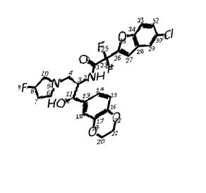 O=C(N[C@H](CN1CCC(F)C1)[C@H](O)c1ccc2c(c1)OCCO2)C(F)(F)c1cc2cc(Cl)ccc2o1